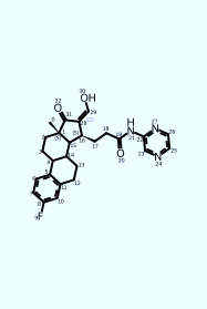 C[C@]12CCC3c4ccc(F)cc4CCC3C1[C@H](CCC(=O)Nc1cnccn1)/C(=C/O)C2=O